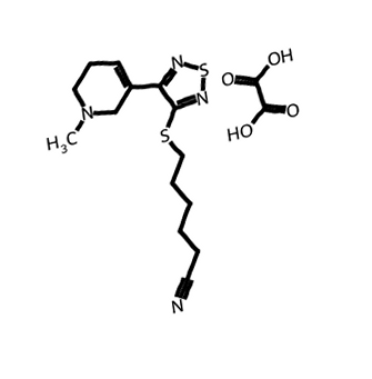 CN1CCC=C(c2nsnc2SCCCCCC#N)C1.O=C(O)C(=O)O